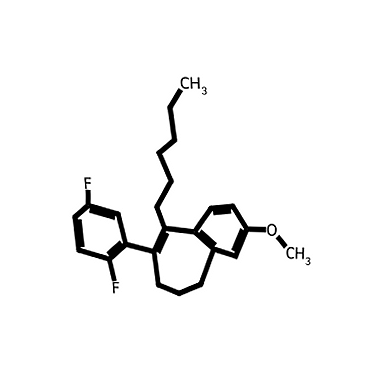 CCCCCCC1=C(c2cc(F)ccc2F)CCCc2cc(OC)ccc21